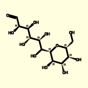 O=C[C@H](O)[C@@H](O)[C@@H](O)[C@H](O)C(O)[C@@H]1O[C@H](CO)[C@H](O)[C@H](O)[C@H]1O